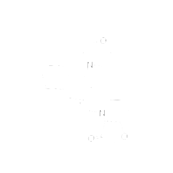 O=C1COC2CCCN(C[C@@H](CCN3CCOCC3)CC3CCCCC3)C12